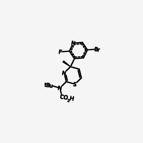 CC(C)(C)N(C(=O)O)C1=N[C@](C)(c2cc(Br)cnc2F)C=CS1